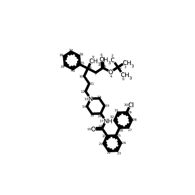 CC(C)(C)OC(=O)CC(C)(CCCN1CCC(NC(=O)c2ccccc2-c2ccc(Cl)cc2)CC1)c1ccccc1